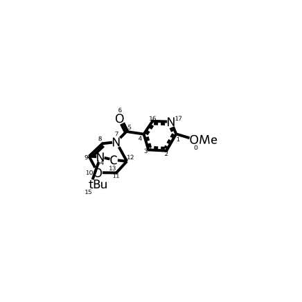 COc1ccc(C(=O)N2C=C3OCC2CN3C(C)(C)C)cn1